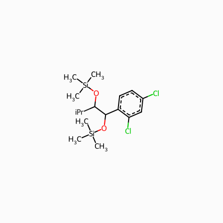 CC(C)C(O[Si](C)(C)C)C(O[Si](C)(C)C)c1ccc(Cl)cc1Cl